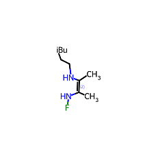 CCC(C)CCN/C(C)=C(/C)NF